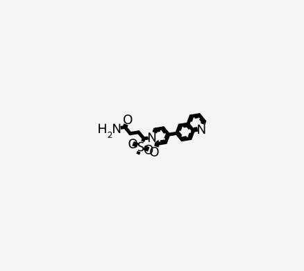 CS(=O)(=O)C(CCC(N)=O)n1ccc(-c2ccc3ncccc3c2)cc1=O